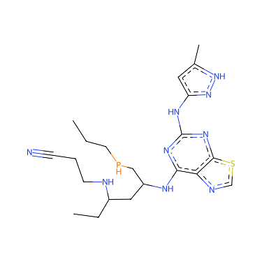 CCCPCC(CC(CC)NCCC#N)Nc1nc(Nc2cc(C)[nH]n2)nc2scnc12